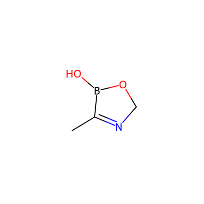 CC1=NCOB1O